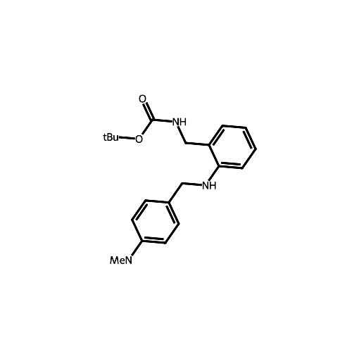 CNc1ccc(CNc2ccccc2CNC(=O)OC(C)(C)C)cc1